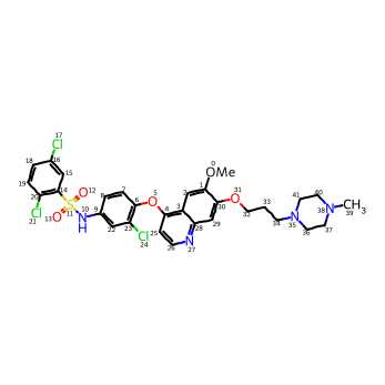 COc1cc2c(Oc3ccc(NS(=O)(=O)c4cc(Cl)ccc4Cl)cc3Cl)ccnc2cc1OCCCN1CCN(C)CC1